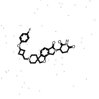 O=C1CCC(N2Cc3c(ccc4c3OCC43CCN(CC4CC(Oc5ccc(F)cc5)C4)CC3)C2=O)C(=O)N1